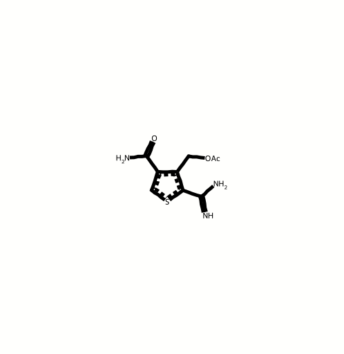 CC(=O)OCc1c(C(N)=O)csc1C(=N)N